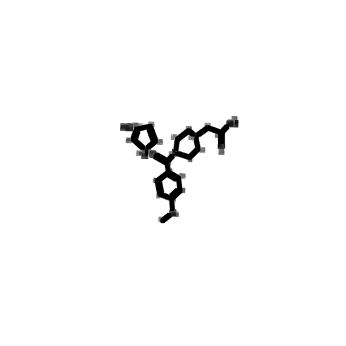 COc1ccc(C(=O)N2CCN(CC(=O)O)CC2)cc1.Cl.c1cc[nH]c1